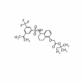 C=C(C)c1cc(C(F)(F)F)cc(S(=O)(=O)N[C@@H]2CCCc3c(OCC(=O)OC(C)(C)C)cccc32)c1